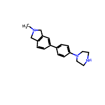 CN1Cc2ccc(-c3ccc(N4CCNCC4)cc3)cc2C1